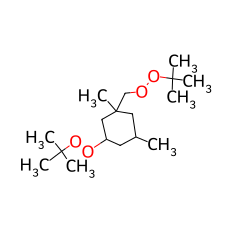 CC1CC(OOC(C)(C)C)CC(C)(COOC(C)(C)C)C1